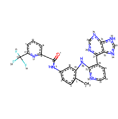 Cc1ccc(NC(=O)c2cccc(C(F)(F)F)n2)cc1Nc1ncccc1-c1ncnc2[nH]cnc12